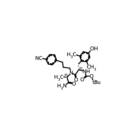 Cc1cc(O)cc(C)c1C[C@H](NC(=O)OC(C)(C)C)C(=O)N(CCCc1ccc(C#N)cc1)[C@H](C)C(N)=O